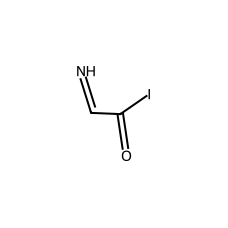 N=CC(=O)I